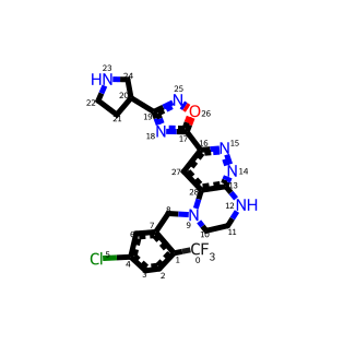 FC(F)(F)c1ccc(Cl)cc1CN1CCNc2nnc(-c3nc(C4CCNC4)no3)cc21